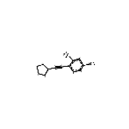 N#Cc1ccc(C#CC2CCCC2)c(C(F)(F)F)c1